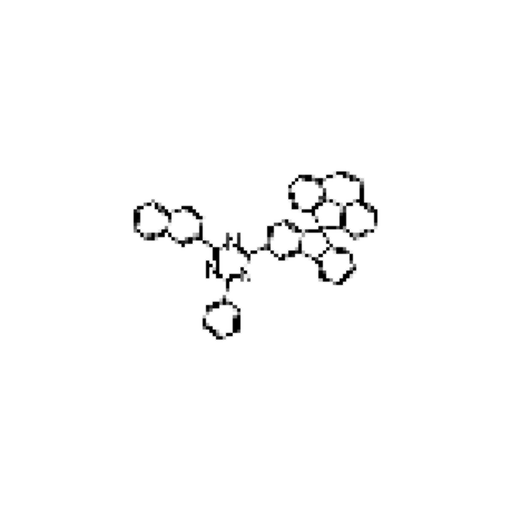 c1ccc(-c2nc(-c3ccc4c(c3)-c3ccccc3C43c4cccc5ccc6cccc3c6c45)nc(-c3ccc4ccccc4c3)n2)cc1